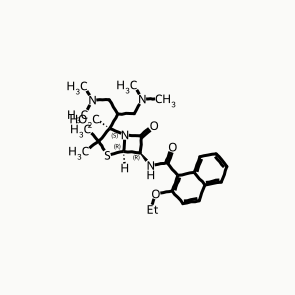 CCOc1ccc2ccccc2c1C(=O)N[C@@H]1C(=O)N2[C@@H]1SC(C)(C)[C@@]2(C(=O)O)C(CN(C)C)CN(C)C